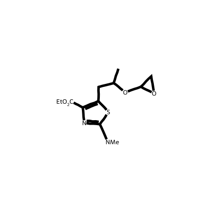 CCOC(=O)c1nc(NC)sc1CC(C)OC1CO1